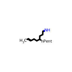 C/C=C/CCC(CCC=N)CCCCC